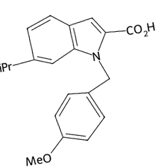 COc1ccc(Cn2c(C(=O)O)cc3ccc(C(C)C)cc32)cc1